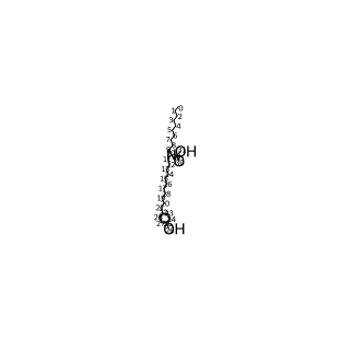 CCCCCCCCCCN(CCCCCCCCCCCc1ccc(O)cc1)C(=O)O